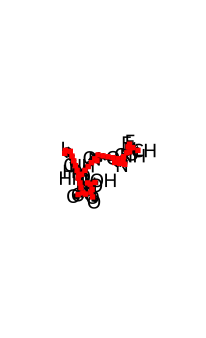 C#C[C@H]1CC(F)(F)CN1C(=O)CNC(=O)c1ccnc2ccc(OCCCCC3CCN(C(=O)CCCCCNC(=O)[C@H](CCCNC(=O)CCCc4ccc(I)cc4)NC(=O)CN4CCN(COC=O)CCN(COC=O)CCN(CC(=O)O)CC4)CC3)cc12